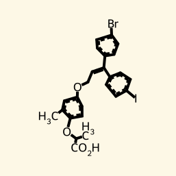 Cc1cc(OCC=C(c2ccc(Br)cc2)c2ccc(I)cc2)ccc1OC(C)C(=O)O